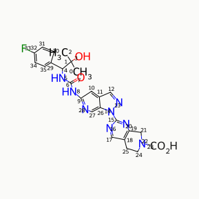 CC(C)(O)C(NC(=O)Nc1cc2cnn(-c3ncc4c(n3)CN(C(=O)O)CC4)c2cn1)c1ccc(F)cc1